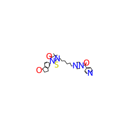 CC1(C)C(=O)N(c2ccc3c(c2)CCC3=O)C(=S)N1CCCCCCN1CCN(C(=O)c2ccncc2)CC1